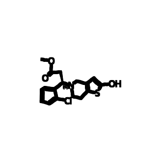 COC(=O)C[C@H](c1ccccc1Cl)N1CCc2sc(O)cc2C1